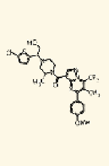 COc1ccc(-c2nc3c(C(=O)N4CCN([C@H](CO)c5ccc(Cl)s5)C[C@H]4C)cnn3c(C(F)(F)F)c2C)cc1